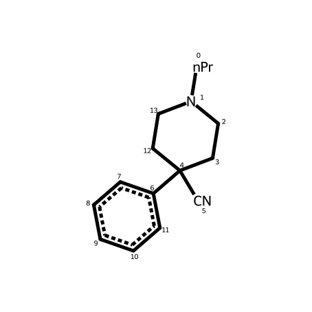 [CH2]CCN1CCC(C#N)(c2ccccc2)CC1